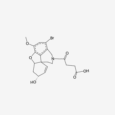 COc1cc(Br)c2c3c1OC1C[C@@H](O)C=CC31CCN(C(=O)CCC(=O)O)C2